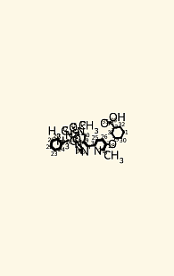 Cc1nc(-c2nnn(C)c2CN(C)S(=O)(=O)N(C)Cc2ccccc2)ccc1O[C@H]1CCC[C@H](C(=O)O)C1